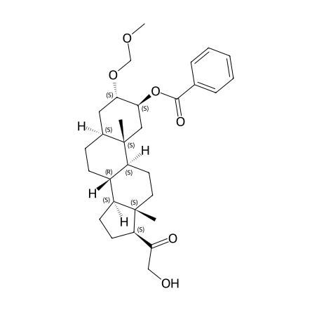 COCO[C@H]1C[C@@H]2CC[C@@H]3[C@H](CC[C@]4(C)[C@@H](C(=O)CO)CC[C@@H]34)[C@@]2(C)C[C@@H]1OC(=O)c1ccccc1